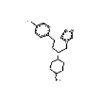 CC(C)(C)C1CCC(C(Cn2ccnc2)SCc2ccc(Cl)cc2)CC1